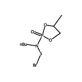 CCCCN(SBr)P1(=O)OCC(C)O1